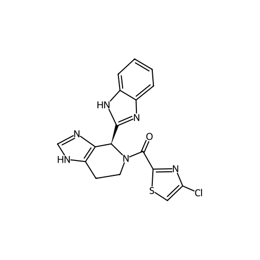 O=C(c1nc(Cl)cs1)N1CCc2[nH]cnc2[C@H]1c1nc2ccccc2[nH]1